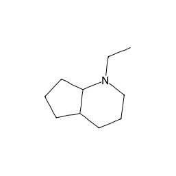 CCN1CCCC2CCCC21